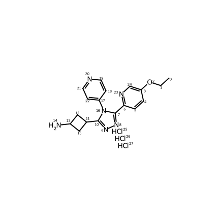 CCOc1ccc(-c2nnc(C3CC(N)C3)n2-c2ccncc2)nc1.Cl.Cl.Cl